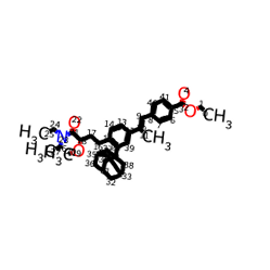 CCOC(=O)c1ccc(C=C(C)c2ccc(CCC(OC)C(=O)N(CC)CC)c(C34CC5CC(CC(C5)C3)C4)c2)cc1